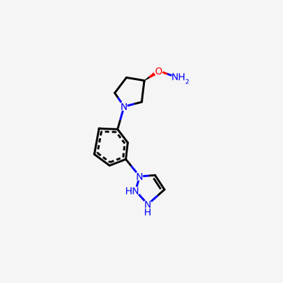 NO[C@@H]1CCN(c2cccc(N3C=CNN3)c2)C1